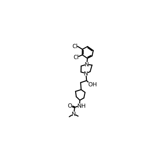 CN(C)C(=O)NC1CCC(CC(O)N2CCN(c3cccc(Cl)c3Cl)CC2)CC1